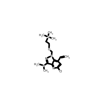 C=Cc1cc(Cl)nc2c(N(C)C)nn(COCC[Si](C)(C)C)c12